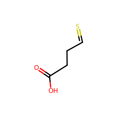 O=C(O)CCC=S